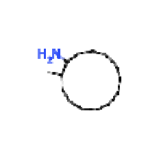 CC1CCCCCCCCCCCC1N